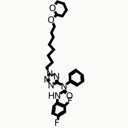 O=C(Nc1ccc(F)cc1F)N(c1ccccc1)c1nnn(CCCCCCCCOC2CCCCO2)n1